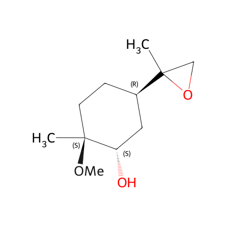 CO[C@@]1(C)CC[C@@H](C2(C)CO2)C[C@@H]1O